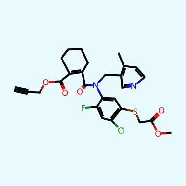 C#CCOC(=O)C1=C(C(=O)N(Cc2cnccc2C)c2cc(SCC(=O)OC)c(Cl)cc2F)CCCC1